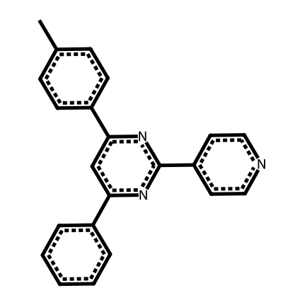 Cc1ccc(-c2cc(-c3ccccc3)nc(-c3ccncc3)n2)cc1